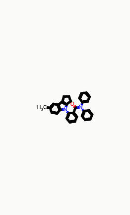 Cc1ccc2c(c1)c1c(n2-c2ccccc2C(=O)N(c2ccccc2)c2ccccc2)CCC1